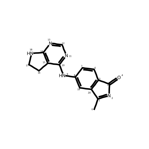 CC1=NC(=O)c2ccc(Nc3ncnc4c3CCN4)cc21